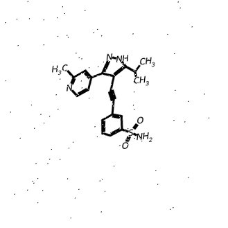 Cc1cc(-c2n[nH]c(C(C)C)c2C#Cc2cccc(S(N)(=O)=O)c2)ccn1